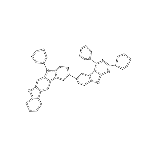 c1ccc(-c2nc(-c3ccccc3)c3c(n2)oc2ccc(-c4ccc5c(c4)c4cc6c(cc4n5-c4ccccc4)oc4ccccc46)cc23)cc1